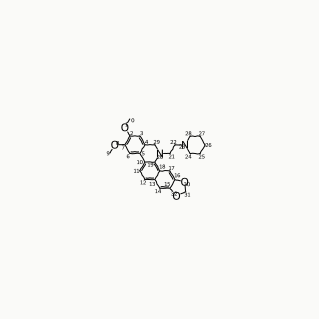 COc1cc2c(cc1OC)-c1ccc3cc4c(cc3c1N(CCN1CCCCC1)C2)OCO4